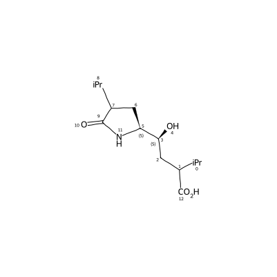 CC(C)C(C[C@H](O)[C@@H]1CC(C(C)C)C(=O)N1)C(=O)O